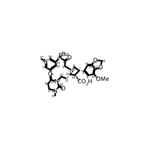 CCCCN(C(=O)CN1C[C@H](c2cc(OC)c3c(c2)OCO3)[C@@H](C(=O)O)[C@@H]1CCN1C(=O)CCN(C)C1=O)c1ccc[n+](C)c1